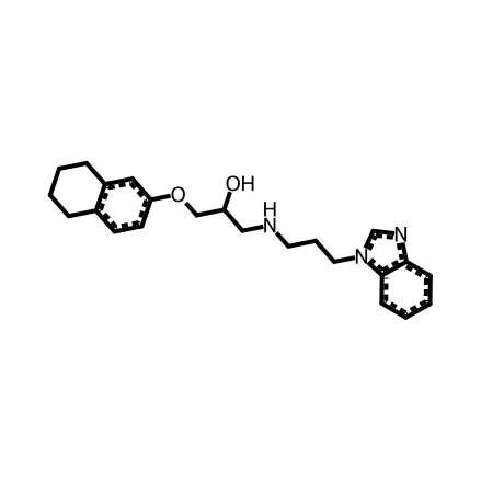 OC(CNCCCn1cnc2ccccc21)COc1ccc2c(c1)CCCC2